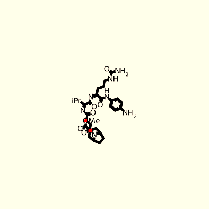 COC(=O)C1CC2CCC(C1)N2C(=O)CCC(=O)N=C(C(=O)N=C(CCCNC(N)=O)C(=O)Nc1ccc(N)cc1)C(C)C